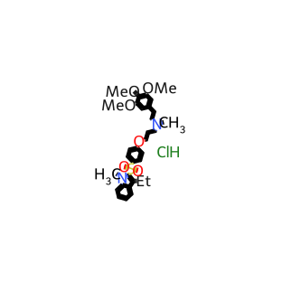 CCc1c(S(=O)(=O)c2ccc(OCCCN(C)CCc3cc(OC)c(OC)c(OC)c3)cc2)n(C)c2ccccc12.Cl